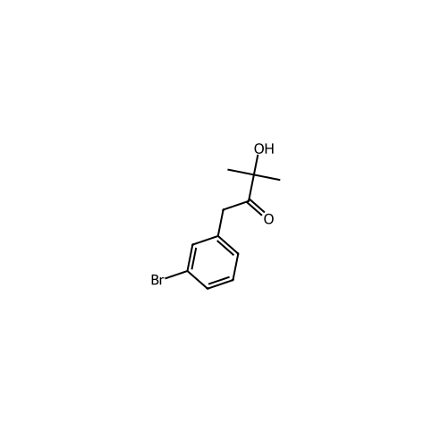 CC(C)(O)C(=O)Cc1cccc(Br)c1